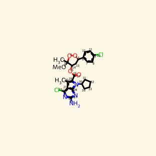 COC1(C)OOC(c2ccc(Cl)cc2)CC1OC(=O)c1c(C)c2c(Cl)nc(N)nc2n1C1CCCC1